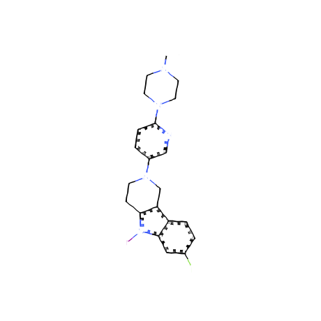 CN1CCN(c2ccc(N3CCc4c(c5ccc(F)cc5n4I)C3)cn2)CC1